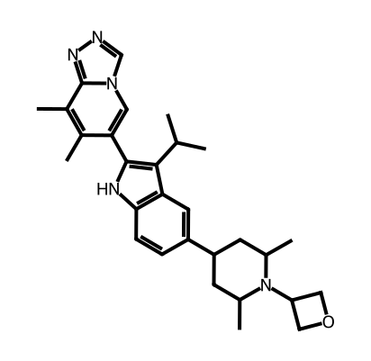 Cc1c(-c2[nH]c3ccc(C4CC(C)N(C5COC5)C(C)C4)cc3c2C(C)C)cn2cnnc2c1C